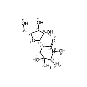 CC1(O)CN([C@@H]2O[C@H](CO)[C@@H](O)[C@H]2O)C(=O)N(O)C1N